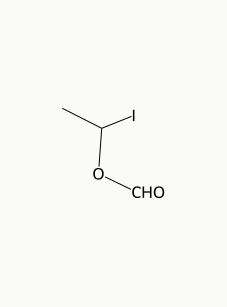 CC(I)OC=O